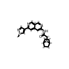 Cn1cc(-c2cc3cc(NC(=O)CN4C5CCC4CC5)ncc3cn2)cn1